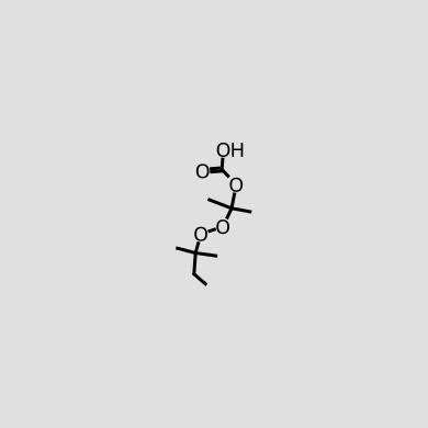 CCC(C)(C)OOC(C)(C)OC(=O)O